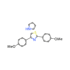 COc1ccc(-c2csc(-c3ccc(OC)cc3)n2)cc1.c1cc[nH]c1